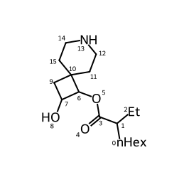 CCCCCCC(CC)C(=O)OC1C(O)CC12CCNCC2